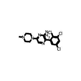 CN1CCN(c2cnc(-c3cc(Cl)cc(Cl)c3Cl)c(N)n2)CC1